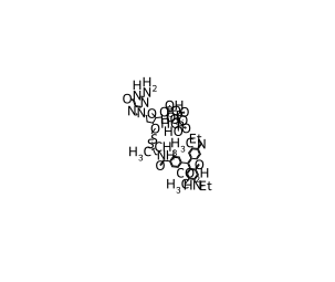 CC/N=c1/cc2oc3cc(NCC)c(C)cc3c(-c3ccc(C(=O)NCC(C)(C)SSCO[C@@H]4C[C@H](n5cnc6c(=O)[nH]c(N)nc65)OC4COP(=O)(O)OP(=O)(O)OP(=O)(O)O)cc3C(=O)O)c-2cc1C